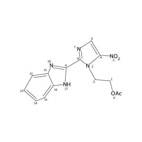 CC(=O)OCCn1c([N+](=O)[O-])cnc1-c1nc2ccccc2[nH]1